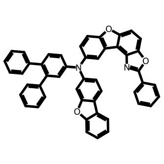 c1ccc(-c2nc3c(ccc4oc5ccc(N(c6ccc(-c7ccccc7)c(-c7ccccc7)c6)c6ccc7c(c6)oc6ccccc67)cc5c43)o2)cc1